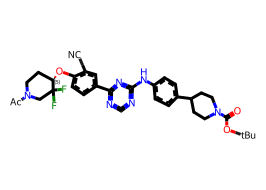 CC(=O)N1CC[C@H](Oc2ccc(-c3ncnc(Nc4ccc(C5CCN(C(=O)OC(C)(C)C)CC5)cc4)n3)cc2C#N)C(F)(F)C1